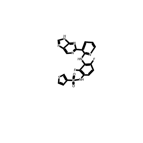 O=S(=O)(Nc1ccc(F)c(Nc2ncccc2-c2ncc3nc[nH]c3n2)c1F)c1ccsc1